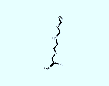 C=C(C)COCCNCOCC